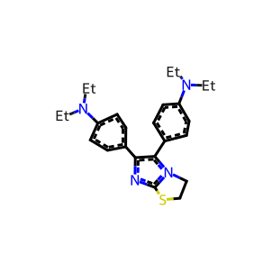 CCN(CC)c1ccc(-c2nc3n(c2-c2ccc(N(CC)CC)cc2)CCS3)cc1